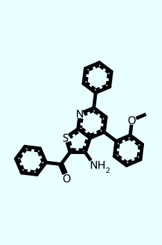 COc1ccccc1-c1cc(-c2ccccc2)nc2sc(C(=O)c3ccccc3)c(N)c12